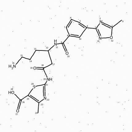 Cc1nc(-c2cccc(C(=O)NC(CCCN)CC(=O)Nc3nc(C)c(C(=O)O)s3)c2)no1